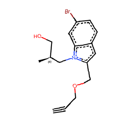 C#CCOCc1cc2ccc(Br)cc2n1C[C@@H](C)CO